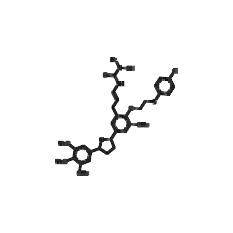 COc1cc(C2CCC(c3cc(OC)c(OC)c(OC)c3)O2)cc(C/C=C/NC(=O)N(O)C(C)C)c1OCCSc1ccc(Cl)cc1